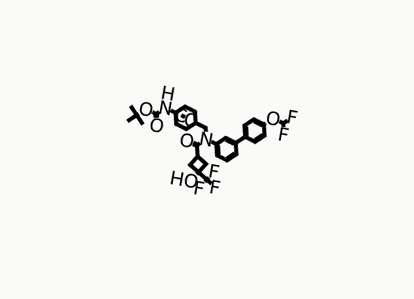 CC(C)(C)OC(=O)NC12CCC(CN(C(=O)C3CC(O)(C(F)(F)F)C3)c3cccc(-c4ccc(OC(F)F)cc4)c3)(CC1)CC2